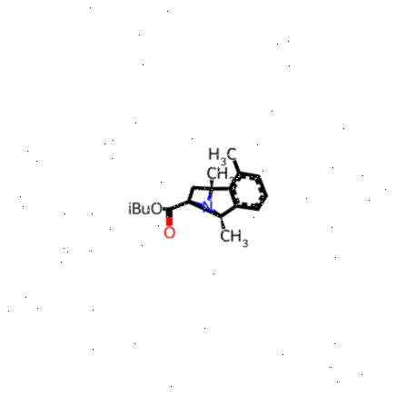 Cc1cccc2c1[C@@]1(C)CC3(C(=O)OCC(C)C)N1[C@]23C